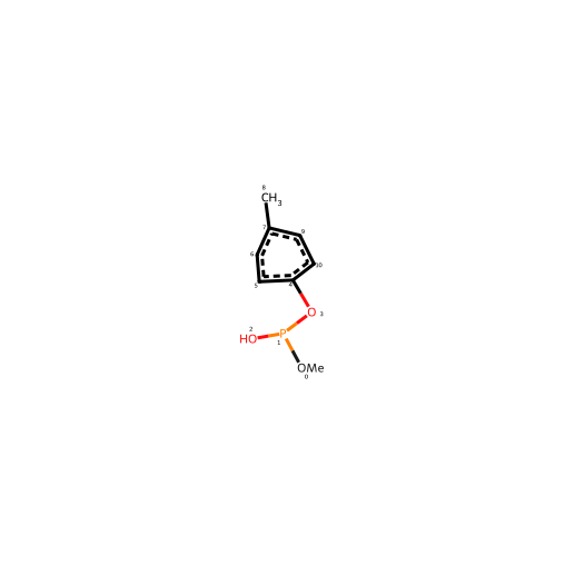 COP(O)Oc1ccc(C)cc1